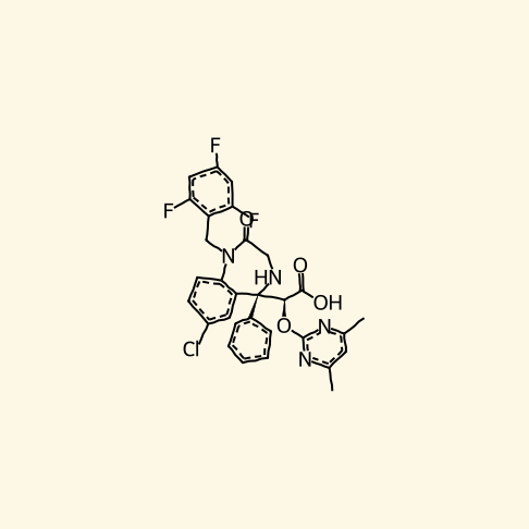 Cc1cc(C)nc(O[C@H](C(=O)O)[C@@]2(c3ccccc3)NCC(=O)N(Cc3c(F)cc(F)cc3F)c3ccc(Cl)cc32)n1